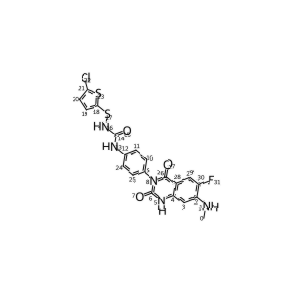 CNc1cc2[nH]c(=O)n(-c3ccc(NC(=O)NSc4ccc(Cl)s4)cc3)c(=O)c2cc1F